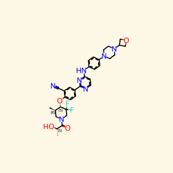 C[C@H](O)C(=O)N1C[C@@H](C)[C@H](Oc2ccc(-c3nccc(Nc4ccc(N5CCN(C6COC6)CC5)cc4)n3)cc2C#N)C(F)(F)C1